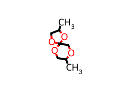 CC1COC2(CO1)OCC(C)O2